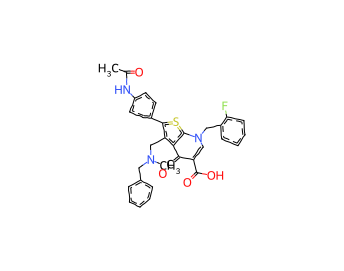 CC(=O)Nc1ccc(-c2sc3c(c2CN(C)Cc2ccccc2)C(=C=O)C(C(=O)O)=CN3Cc2ccccc2F)cc1